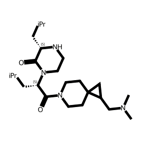 CC(C)C[C@@H]1NCCN([C@@H](CC(C)C)C(=O)N2CCC3(CC2)CC3CN(C)C)C1=O